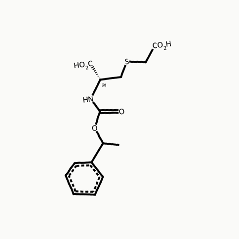 CC(OC(=O)N[C@@H](CSCC(=O)O)C(=O)O)c1ccccc1